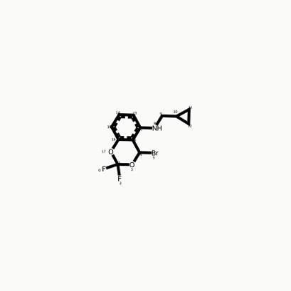 FC1(F)O[C](Br)c2c(NCC3CC3)cccc2O1